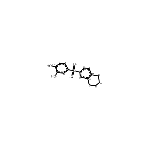 O=S(=O)(c1ccc(O)c(O)c1)c1ccc2c(c1)CCCC2